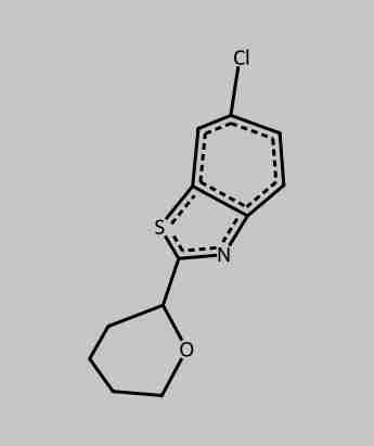 Clc1ccc2nc(C3CCCCO3)sc2c1